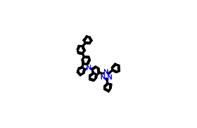 c1ccc(-c2cccc(-c3ccc4c(c3)c3ccccc3n4-c3ccc(-c4nc(-c5ccccc5)nc(-c5ccccc5)n4)c4ccccc34)c2)cc1